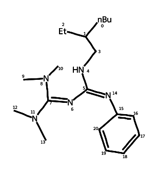 CCCCC(CC)CN/C(N=C(N(C)C)N(C)C)=N/c1ccccc1